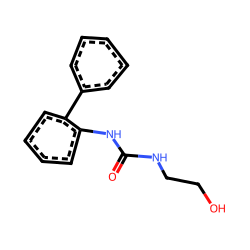 O=C(NCCO)Nc1ccccc1-c1ccccc1